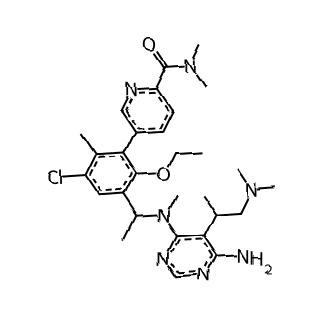 CCOc1c(C(C)N(C)c2ncnc(N)c2C(C)CN(C)C)cc(Cl)c(C)c1-c1ccc(C(=O)N(C)C)nc1